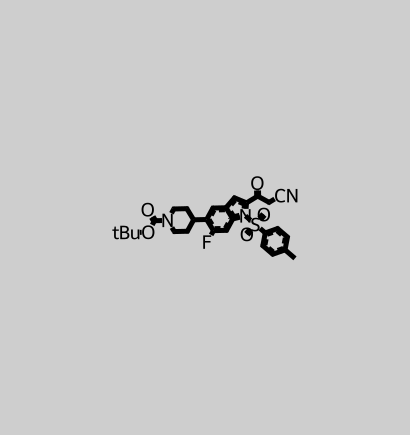 Cc1ccc(S(=O)(=O)n2c(C(=O)CC#N)cc3cc(C4CCN(C(=O)OC(C)(C)C)CC4)c(F)cc32)cc1